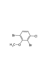 COc1c(Br)c[c]c(Cl)c1Br